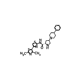 Cc1nc(C)c(-c2csc(NC(=O)[C@@H]3C[C@@H](N4CCC(c5ccccc5)CC4)CN3)n2)s1